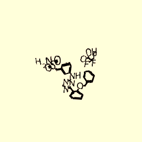 NS(=O)(=O)Cc1cccc(Nc2ncnc(-c3ccccc3OCc3ccccc3)n2)c1.O=C(O)C(F)(F)F